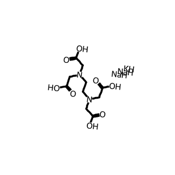 O=C(O)CN(CCN(CC(=O)O)CC(=O)O)CC(=O)O.[KH].[NaH].[NaH]